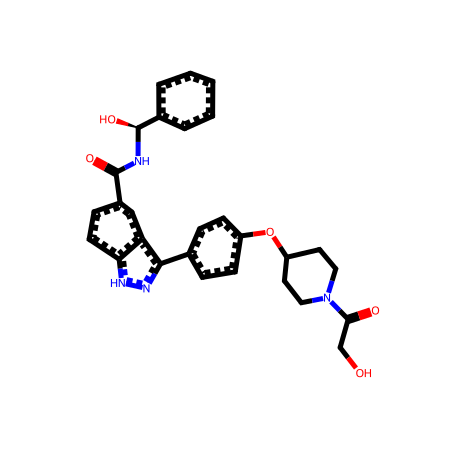 O=C(N[C@@H](O)c1ccccc1)c1ccc2[nH]nc(-c3ccc(OC4CCN(C(=O)CO)CC4)cc3)c2c1